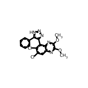 COc1nc2cc(Cl)c(Cl)c(-c3nn[nH]c3-c3ccccc3)c2nc1OC